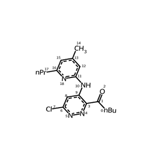 CCCCC(=O)c1nnc(Cl)cc1Nc1cc(C)cc(CCC)n1